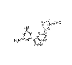 CCc1cc(-c2c[nH]c3ncc(C4CN(C=O)CCO4)cc23)nc(N)n1